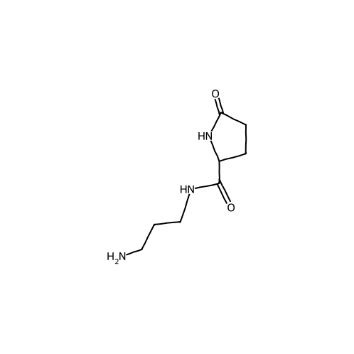 NCCCNC(=O)C1CCC(=O)N1